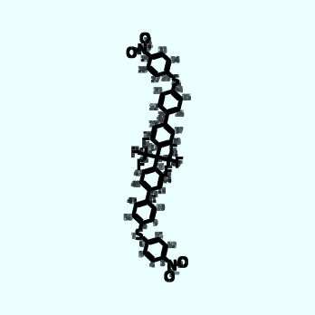 O=[N+]([O-])c1ccc(Sc2ccc(-c3ccc(C(c4ccc(-c5ccc(Sc6ccc([N+](=O)[O-])cc6)cc5)cc4)(C(F)(F)F)C(F)(F)F)cc3)cc2)cc1